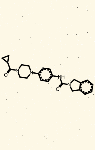 O=C(Nc1ccc(N2CCN(C(=O)C3CC3)CC2)cc1)N1Cc2ccccc2C1